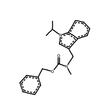 CC(C)n1cc(CN(C)C(=O)OCc2ccccc2)c2ccccc21